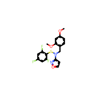 COc1ccc(CN(Sc2c(F)cc(F)cc2F)c2ccon2)c(OC)c1